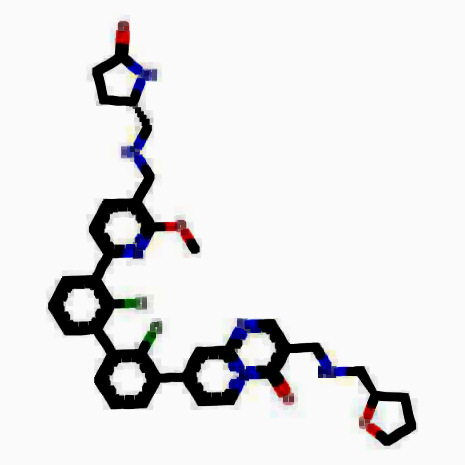 COc1nc(-c2cccc(-c3cccc(-c4ccn5c(=O)c(CNC[C@H]6CCCO6)cnc5c4)c3Cl)c2Cl)ccc1CNC[C@@H]1CCC(=O)N1